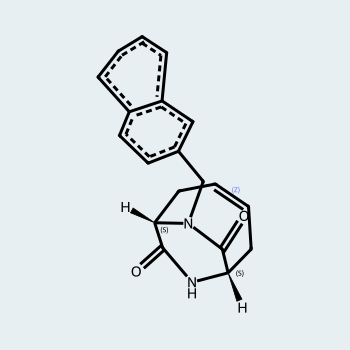 O=C1N[C@H]2C/C=C\C[C@@H]1N(Cc1ccc3ccccc3c1)C2=O